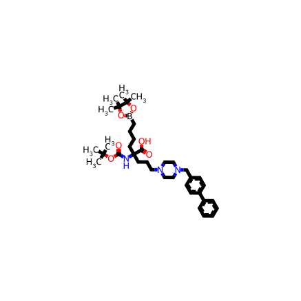 CC(C)(C)OC(=O)NC(CCCCB1OC(C)(C)C(C)(C)O1)(CCCN1CCN(Cc2ccc(-c3ccccc3)cc2)CC1)C(=O)O